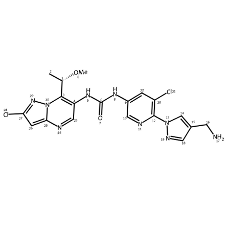 CO[C@@H](C)c1c(NC(=O)Nc2cnc(-n3cc(CN)cn3)c(Cl)c2)cnc2cc(Cl)nn12